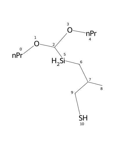 CCCOC(OCCC)[SiH2]CC(C)CS